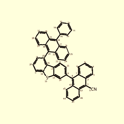 N#Cc1c2ccccc2c(-c2ccc3c(c2)sc2cccc(-c4c5ccccc5c(-c5ccccc5)c5ccccc45)c23)c2ccccc12